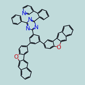 c1ccc(-c2nc(-c3cc(-c4ccc5oc6cc7ccccc7cc6c5c4)cc(-c4ccc5oc6cc7ccccc7cc6c5c4)c3)nc(-c3ccccc3-c3cccnc3)n2)cc1